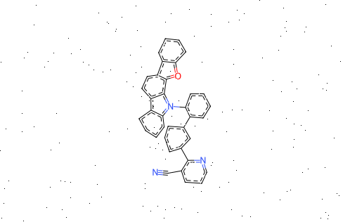 N#Cc1cccnc1-c1cccc(-c2ccccc2-n2c3ccccc3c3ccc4c5ccccc5oc4c32)c1